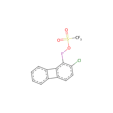 O=S(=O)(O[I+]c1c(Cl)ccc2c1-c1ccccc1-2)C(F)(F)F